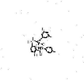 C=C(Nc1ccc(CC)c(C(=O)Nc2ccc(C)cc2)c1)C1C(c2cc(C)cc(Cl)c2)C1(Cl)Cl